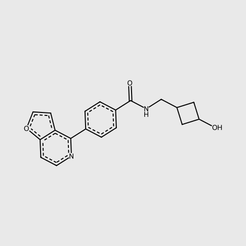 O=C(NCC1CC(O)C1)c1ccc(-c2nccc3occc23)cc1